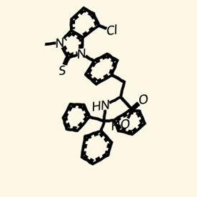 Cn1c(=S)n(-c2ccc(CC(NC(c3ccccc3)(c3ccccc3)c3ccccc3)C(=O)O)cc2)c2c(Cl)cccc21